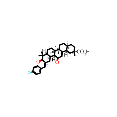 CC1(C)C(=O)/C(=C\c2ccc(F)cc2)C[C@]2(C)[C@H]3C(=O)C=C4[C@@H]5C[C@@](C)(C(=O)O)CC[C@]5(C)CC[C@@]4(C)[C@]3(C)CC[C@@H]12